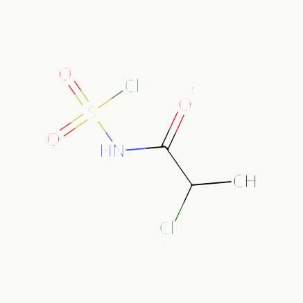 CC(Cl)C(=O)NS(=O)(=O)Cl